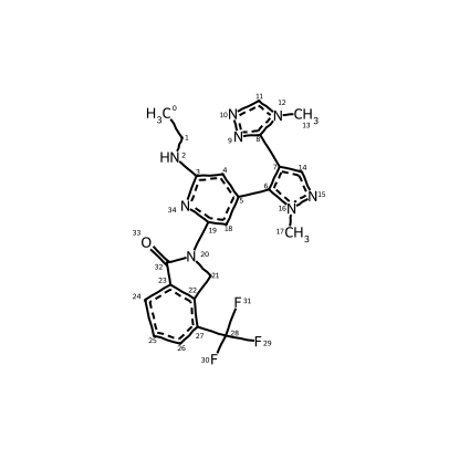 CCNc1cc(-c2c(-c3nncn3C)cnn2C)cc(N2Cc3c(cccc3C(F)(F)F)C2=O)n1